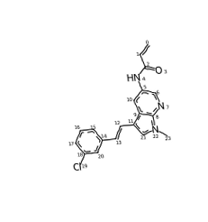 C=CC(=O)Nc1cnc2c(c1)c(/C=C/c1cccc(Cl)c1)cn2C